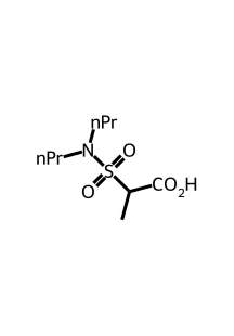 CCCN(CCC)S(=O)(=O)C(C)C(=O)O